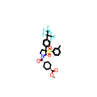 COC(=O)[C@H]1CC[C@H](C(=O)N2CCC(c3ccc(C(F)(C(F)(F)F)C(F)(F)F)cc3)(S(=O)(=O)c3cccc(C)c3)C2)CC1